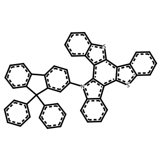 c1ccc(C2(c3ccccc3)c3ccccc3-c3ccc(-n4c5ccccc5c5c6sc7ccccc7c6c6sc7ccccc7c6c54)cc32)cc1